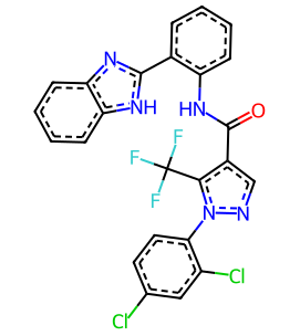 O=C(Nc1ccccc1-c1nc2ccccc2[nH]1)c1cnn(-c2ccc(Cl)cc2Cl)c1C(F)(F)F